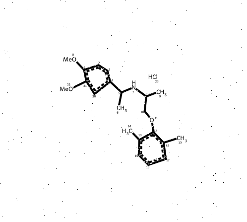 COc1ccc(C(C)NC(C)COc2c(C)cccc2C)cc1OC.Cl